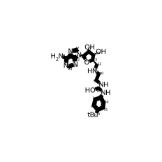 CC(C)(C)c1ccc(NC(O)NCCNC[C@H]2O[C@@H](n3cnc4c(N)ncnc43)[C@H](O)[C@@H]2O)cc1